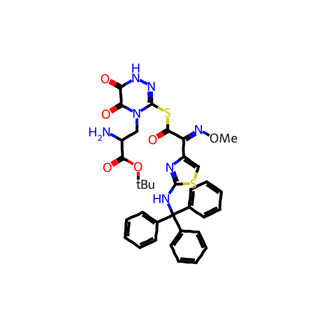 CON=C(C(=O)Sc1n[nH]c(=O)c(=O)n1CC(N)C(=O)OC(C)(C)C)c1csc(NC(c2ccccc2)(c2ccccc2)c2ccccc2)n1